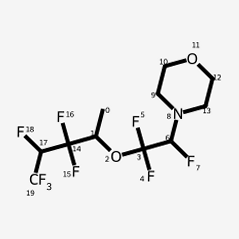 CC(OC(F)(F)C(F)N1CCOCC1)C(F)(F)C(F)C(F)(F)F